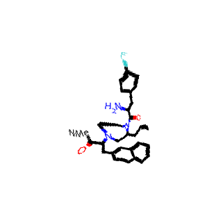 C=CCC1CN(C(Cc2ccc3ccccc3c2)C(=O)NC)CCN1C(=O)C(N)Cc1ccc(F)cc1